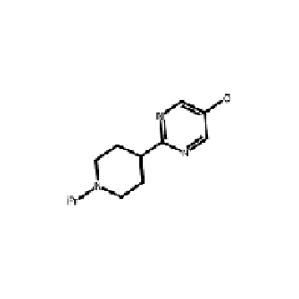 CC(C)N1CCC(c2ncc(Cl)cn2)CC1